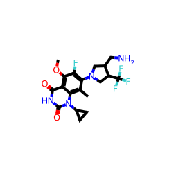 COc1c(F)c(N2CC(CN)C(C(F)(F)F)C2)c(C)c2c1c(=O)[nH]c(=O)n2C1CC1